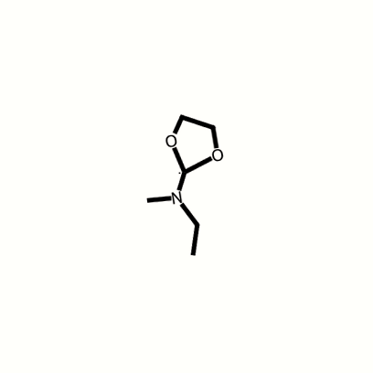 CCN(C)[C]1OCCO1